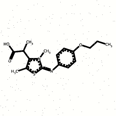 CCCOc1ccc(N=c2sc(C)c(C(C)C(=O)O)n2C)cc1